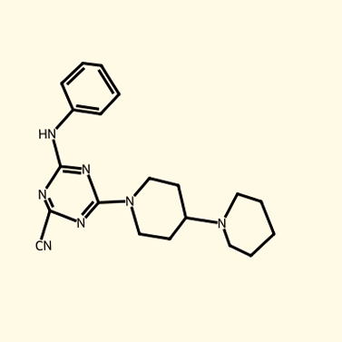 N#Cc1nc(Nc2ccccc2)nc(N2CCC(N3CCCCC3)CC2)n1